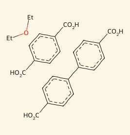 CCOCC.O=C(O)c1ccc(-c2ccc(C(=O)O)cc2)cc1.O=C(O)c1ccc(C(=O)O)cc1